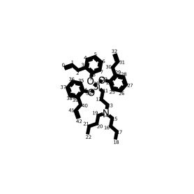 C=CCc1ccccc1O[Si](CCCN(CCCC)CCCC)(Oc1ccccc1CC=C)Oc1ccccc1CC=C